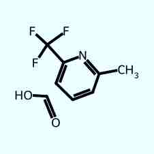 Cc1cccc(C(F)(F)F)n1.O=CO